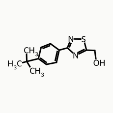 CC(C)(C)c1ccc(-c2nsc(CO)n2)cc1